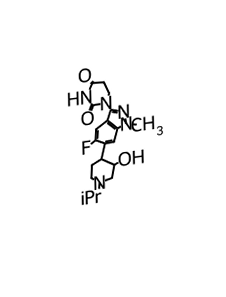 CC(C)N1CCC(c2cc3c(cc2F)c(N2CCC(=O)NC2=O)nn3C)C(O)C1